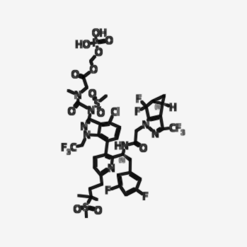 CN(CC(=O)OCOP(=O)(O)O)C(=O)N(c1nn(CC(F)(F)F)c2c(-c3ccc(CCC(C)(C)S(C)(=O)=O)nc3[C@H](Cc3cc(F)cc(F)c3)NC(=O)Cn3nc(C(F)(F)F)c4c3C(F)(F)C3C[C@H]43)ccc(Cl)c12)S(C)(=O)=O